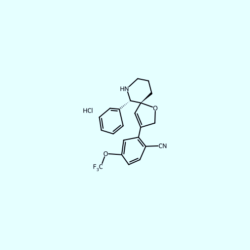 Cl.N#Cc1ccc(OC(F)(F)F)cc1C1=C[C@@]2(CCCN[C@H]2c2ccccc2)OC1